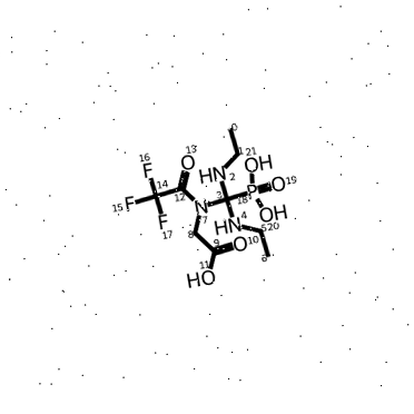 CCNC(NCC)(N(CC(=O)O)C(=O)C(F)(F)F)P(=O)(O)O